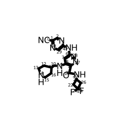 N#Cc1cnc(Nc2cc(NCC3CCNCC3)c(C(=O)NC3CC(F)(F)C3)nn2)cn1